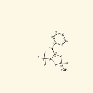 CC(C)(C)N1C[C@@](C)(O)C[C@@H]1Cc1ccccc1